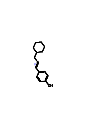 Oc1ccc(/C=N/CC2CCCCC2)cc1